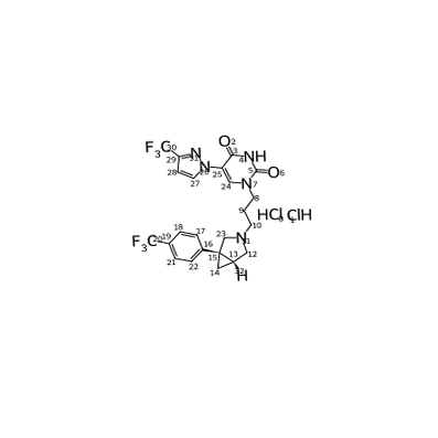 Cl.Cl.O=c1[nH]c(=O)n(CCCN2C[C@@H]3C[C@]3(c3ccc(C(F)(F)F)cc3)C2)cc1-n1ccc(C(F)(F)F)n1